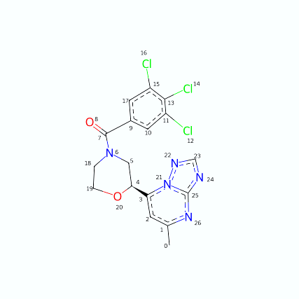 Cc1cc([C@@H]2CN(C(=O)c3cc(Cl)c(Cl)c(Cl)c3)CCO2)n2ncnc2n1